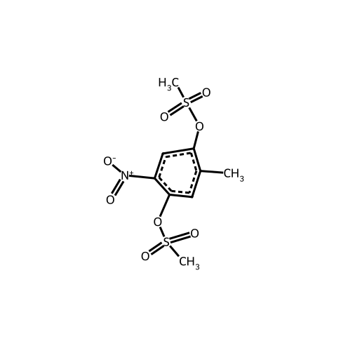 Cc1cc(OS(C)(=O)=O)c([N+](=O)[O-])cc1OS(C)(=O)=O